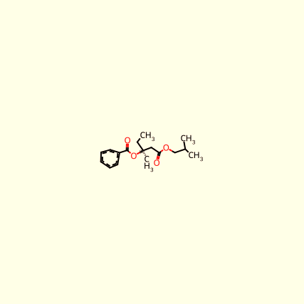 CC[C@@](C)(CC(=O)OCC(C)C)OC(=O)c1ccccc1